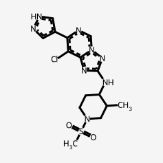 CC1CN(S(C)(=O)=O)CCC1Nc1nc2c(Cl)c(-c3cn[nH]c3)ncn2n1